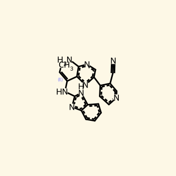 C/C=C(/Nc1nc2ccccc2[nH]1)c1nc(-c2ccncc2C#N)cnc1N